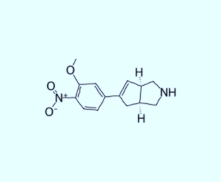 COc1cc(C2=C[C@H]3CNC[C@H]3C2)ccc1[N+](=O)[O-]